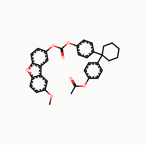 COc1ccc2oc3ccc(OC(=O)Oc4ccc(C5(c6ccc(OC(C)=O)cc6)CCCCC5)cc4)cc3c2c1